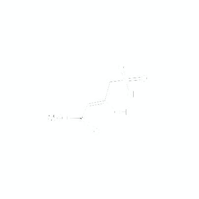 COC(=O)/C=C(\O)CS(=O)(=O)Cl